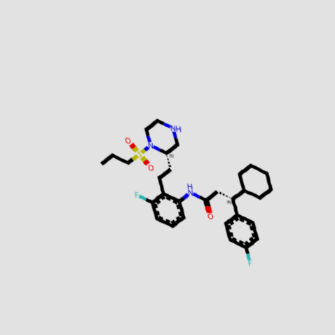 CCCS(=O)(=O)N1CCNC[C@@H]1CCc1c(F)cccc1NC(=O)C[C@@H](c1ccc(F)cc1)C1CCCCC1